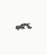 CCC(=O)[C@@]1(O)Cc2cc3c(c(O)c2[C@H](O[C@@H]2CC(NC(=O)COc4ccc(Cn5c(=O)oc6ccc(C)cc65)cc4O)[C@@H](O)[C@@H](C)O2)C1)C(=O)c1c(OC)cccc1C3=O